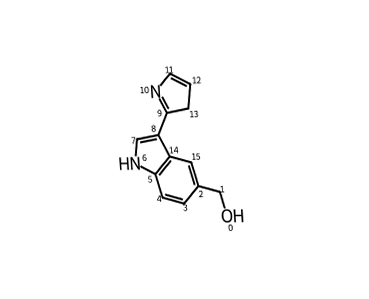 OCc1ccc2[nH]cc(C3=NC=CC3)c2c1